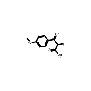 COc1ccc(C(=O)C(C)C(=O)O)cc1